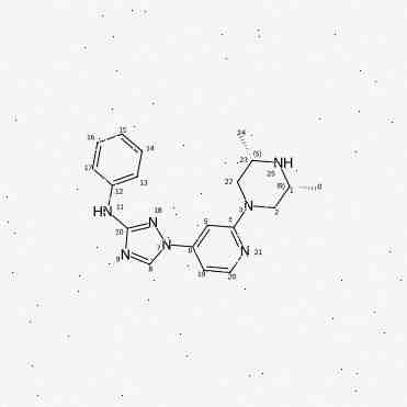 C[C@@H]1CN(c2cc(-n3cnc(Nc4ccccc4)n3)ccn2)C[C@H](C)N1